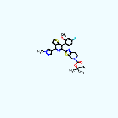 COc1cc(F)ccc1-c1c(-c2nc3c(s2)CN(C(=O)OC(C)(C)C)CC3)nc(-c2cnn(C)c2)c2ccsc12